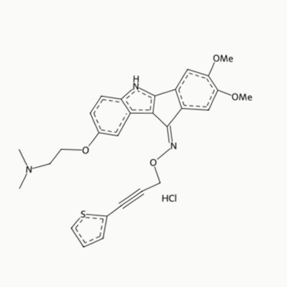 COc1cc2c(cc1OC)-c1[nH]c3ccc(OCCN(C)C)cc3c1C2=NOCC#Cc1cccs1.Cl